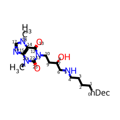 CCCCCCCCCCCCCCNCC(O)CCn1c(=O)c2c(ncn2C)n(C)c1=O